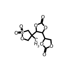 CC1(C2OC(=O)OC2C2COC(=O)O2)COS(=O)(=O)C1